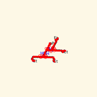 CC/C=C\C/C=C\C/C=C\CCCCCCCC(=O)OCCN(CCOC(=O)CCCCCCC/C=C\C/C=C\C/C=C\CC)C(=O)CCC(=O)NCCCC[C@H](NC(=O)CCC(=O)N(CCOC(=O)CCCCCCC/C=C\C/C=C\C/C=C\CC)CCOC(=O)CCCCCCC/C=C\C/C=C\C/C=C\CC)C(=O)NCCCOCCOCCC